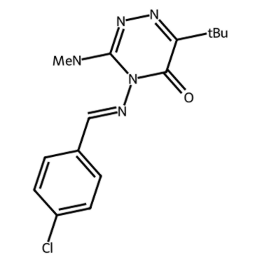 CNc1nnc(C(C)(C)C)c(=O)n1N=Cc1ccc(Cl)cc1